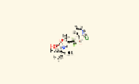 C=C(CN(C(=O)O)C(C)(C)C)C(F)(F)C(=O)c1cccnc1Cl